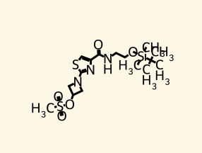 CC(C)(C)[Si](C)(C)OCCNC(=O)c1csc(N2CC(OS(C)(=O)=O)C2)n1